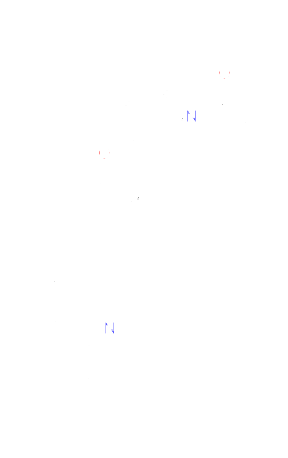 CCC(=O)N1CCC(Oc2ccc(C3=CC4=CCCCC4N=C3)cc2)CC1